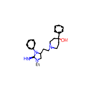 CCN1CC(CCN2CCC(O)(c3ccccc3)CC2)N(c2ccccc2)C1=N